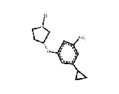 CCN1CC[C@@H](Oc2cc(C3CC3)cc([N+](=O)[O-])c2)C1